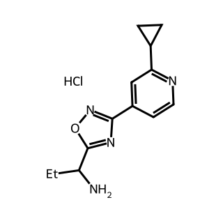 CCC(N)c1nc(-c2ccnc(C3CC3)c2)no1.Cl